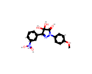 COc1ccc(N2N=C(c3cccc([N+](=O)[O-])c3)C(O)(O)C2=O)cc1